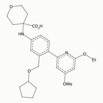 CCOc1cc(OC)cc(-c2ccc(NC3(C(=O)O)CCOCC3)cc2COC2CCCC2)n1